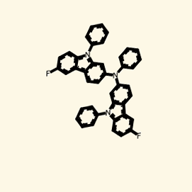 Fc1ccc2c(c1)c1ccc(N(c3ccccc3)c3ccc4c5cc(F)ccc5n(-c5ccccc5)c4c3)cc1n2-c1ccccc1